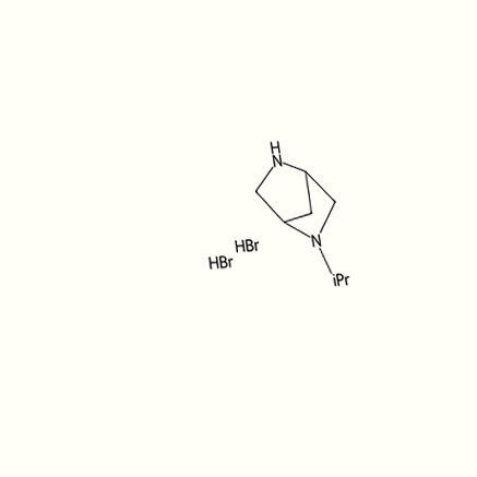 Br.Br.CC(C)N1CC2CC1CN2